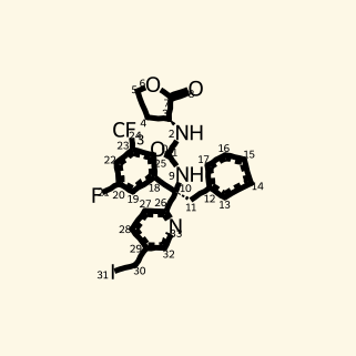 O=C(N[C@@H]1CCOC1=O)N[C@](Cc1ccccc1)(c1cc(F)cc(C(F)(F)F)c1)c1ccc(CI)cn1